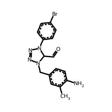 Cc1cc(CN2N=NN(c3ccc(Br)cc3)C2C=O)ccc1N